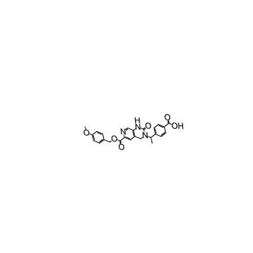 COc1ccc(COC(=O)c2cc3c(cn2)NC(=O)N(C(C)c2ccc(C(=O)O)cc2)C3)cc1